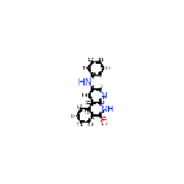 O=c1[nH]c2ncc(Nc3ccccc3)cc2c2ccccc12